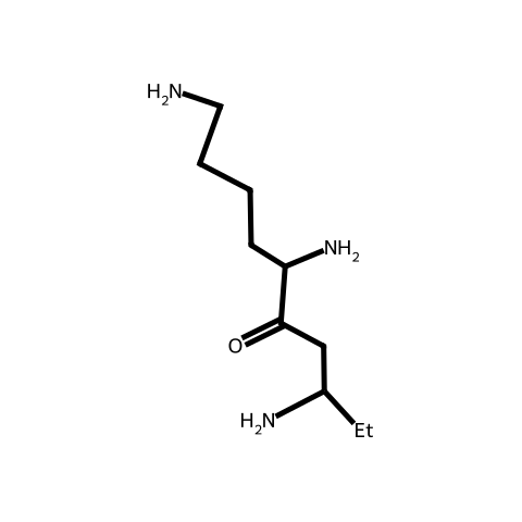 CCC(N)CC(=O)C(N)CCCCN